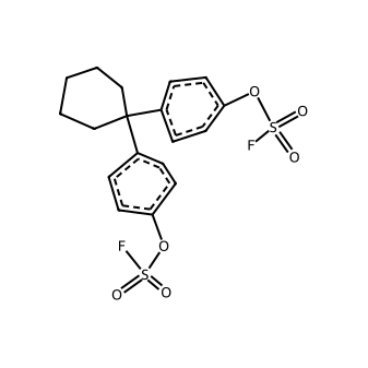 O=S(=O)(F)Oc1ccc(C2(c3ccc(OS(=O)(=O)F)cc3)CCCCC2)cc1